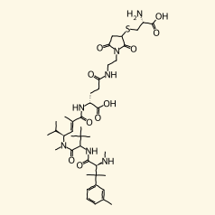 CN[C@H](C(=O)NC(C(=O)N(C)[C@H](/C=C(\C)C(=O)N[C@H](CCC(=O)NCCN1C(=O)CC(SC[C@H](N)C(=O)O)C1=O)C(=O)O)C(C)C)C(C)(C)C)C(C)(C)c1cccc(C)c1